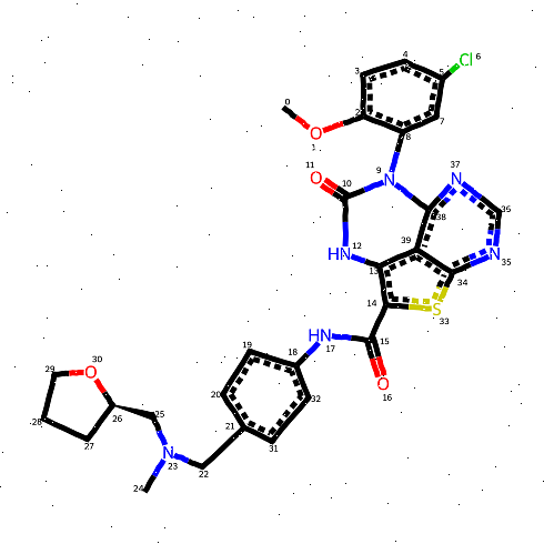 COc1ccc(Cl)cc1N1C(=O)Nc2c(C(=O)Nc3ccc(CN(C)C[C@H]4CCCO4)cc3)sc3ncnc1c23